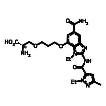 CCn1nc(C)cc1C(=O)Nc1nc2cc(C(N)=O)cc(OCCCOC[C@H](N)C(=O)O)c2n1CC